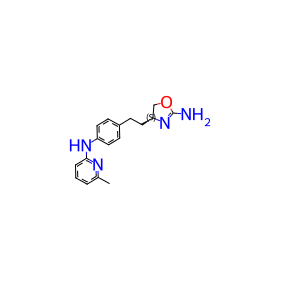 Cc1cccc(Nc2ccc(CC[C@H]3COC(N)=N3)cc2)n1